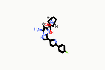 CC(=O)c1c([C@H]2C[C@H]3CC[C@@H](C2)N3C(=O)CO)nc2c(-c3ccc(-c4ccc(F)cc4)nc3)cnn2c1N